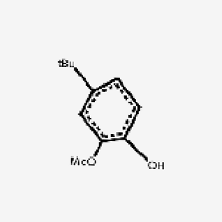 COc1cc(C(C)(C)C)ccc1O